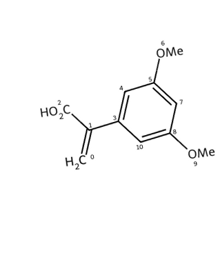 C=C(C(=O)O)c1cc(OC)cc(OC)c1